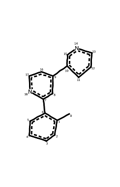 Cc1ccccc1-c1cc(-c2cccnc2)ccn1